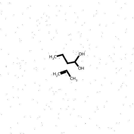 C=CC.CCCC(O)O